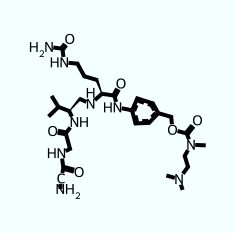 CC(C)[C@@H](CN[C@@H](CCCNC(N)=O)C(=O)Nc1ccc(COC(=O)N(C)CCN(C)C)cc1)NC(=O)CNC(=O)CN